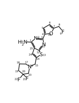 Nc1nc(-c2ccc(CF)o2)nc2sc(CN3CCCC(F)(F)C3)cc12